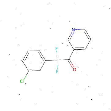 O=C(c1cccnc1)C(F)(F)c1cccc(Cl)c1